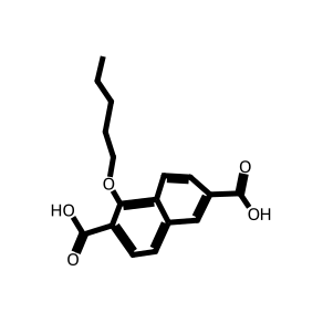 CCCCCOc1c(C(=O)O)ccc2cc(C(=O)O)ccc12